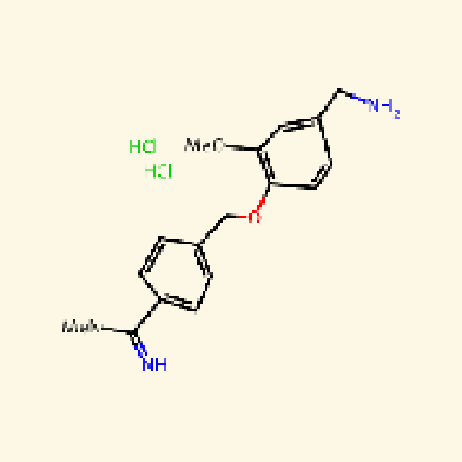 CNC(=N)c1ccc(COc2ccc(CN)cc2OC)cc1.Cl.Cl